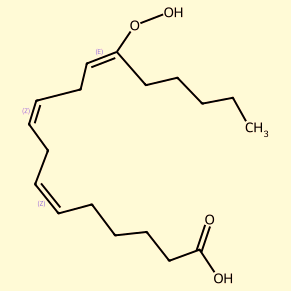 CCCCC/C(=C\C/C=C\C/C=C\CCCCC(=O)O)OO